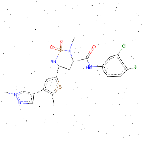 Cc1sc(C2CC(C(=O)Nc3ccc(F)c(Cl)c3)N(C)S(=O)(=O)N2)cc1-c1cnn(C)c1